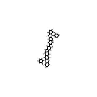 Cc1ccccc1N(c1ccc2cc3c(cc2c1)sc1cc2c(cc13)sc1cc3cc(N(c4ccccc4C)c4ccccc4C)ccc3cc12)c1ccccc1C